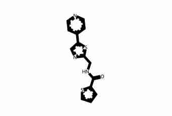 O=C(NCc1ncc(-c2ccncc2)s1)c1cccs1